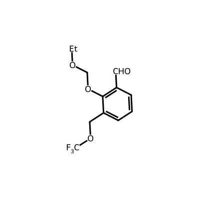 CCOCOc1c(C=O)cccc1COC(F)(F)F